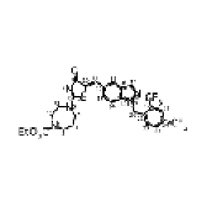 CCOC(=O)N1CCCN(C2=NC(=O)/C(=C/c3ccc4c(cnn4Cc4ccc(C(F)(F)F)cc4C(F)(F)F)c3)S2)CC1